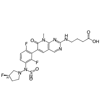 Cn1c(=O)c(-c2c(F)ccc(N(N3CC[C@@H](F)C3)[SH](=O)=O)c2F)cc2cnc(NCCCC(=O)O)nc21